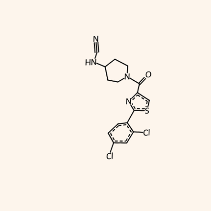 N#CNC1CCN(C(=O)c2csc(-c3ccc(Cl)cc3Cl)n2)CC1